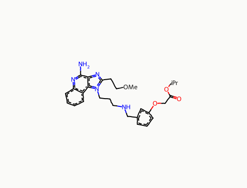 COCCc1nc2c(N)nc3ccccc3c2n1CCCNCc1cccc(OCC(=O)OC(C)C)c1